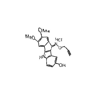 C#CCON=C1c2cc(OC)c(OC)cc2-c2[nH]c3ccc(O)cc3c21.Cl